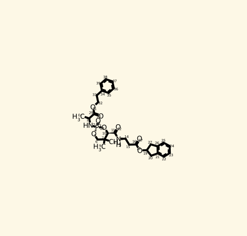 CC(NP1(=O)OCC(C)(C)[C@H](C(=O)NCCC(=O)OC2Cc3ccccc3C2)O1)C(=O)OCCc1ccccc1